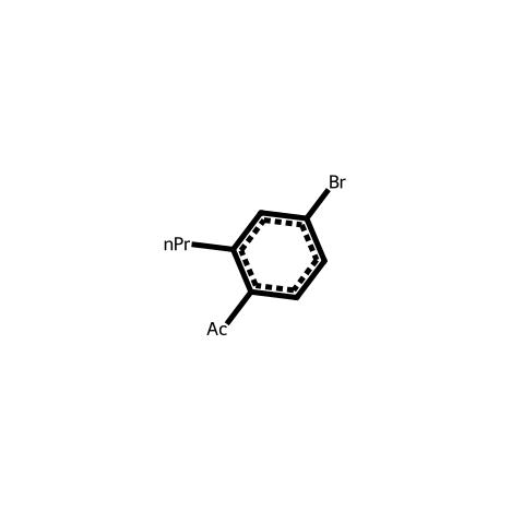 CCCc1cc(Br)ccc1C(C)=O